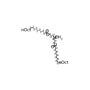 CCCCCCCC/C=C\CCCCCCCC(=O)OCCCN(C)CCCOC(=O)CCCCCCC/C=C\CCCCCCCC